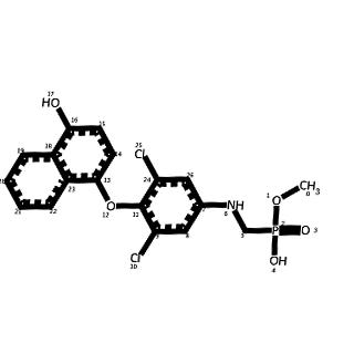 COP(=O)(O)CNc1cc(Cl)c(Oc2ccc(O)c3ccccc23)c(Cl)c1